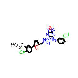 O=C(O)c1cc(-c2ccc(/C=N/Nc3nc4nonc4nc3Nc3cccc(Cl)c3)o2)ccc1Cl